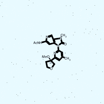 CO[C@]1(c2cc(C)cc(-n3c(=O)n(C)c4cnc(NC(C)=O)cc43)n2)CCOC1